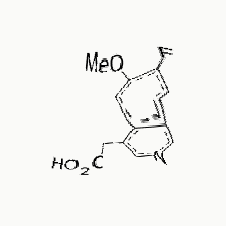 COc1cc2c(CC(=O)O)cncc2cc1F